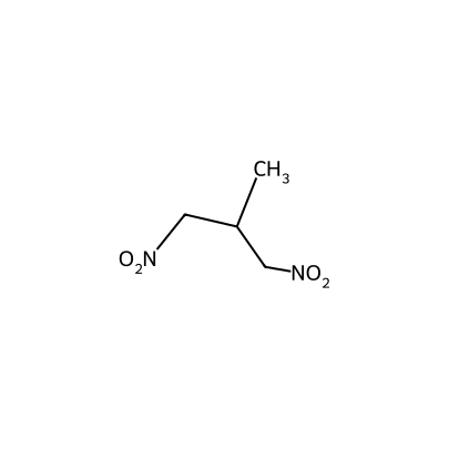 CC(C[N+](=O)[O-])C[N+](=O)[O-]